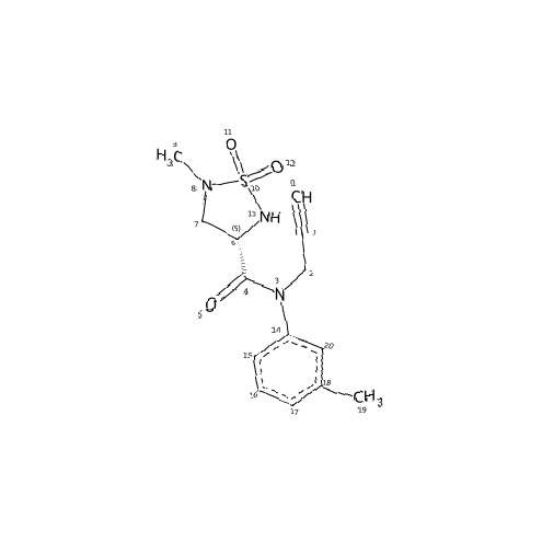 C#CCN(C(=O)[C@@H]1CN(C)S(=O)(=O)N1)c1cccc(C)c1